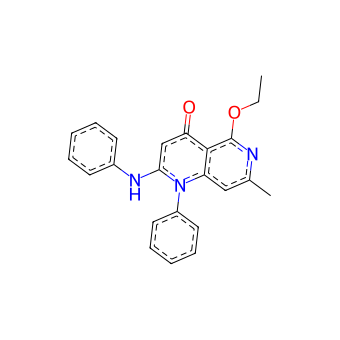 CCOc1nc(C)cc2c1c(=O)cc(Nc1ccccc1)n2-c1ccccc1